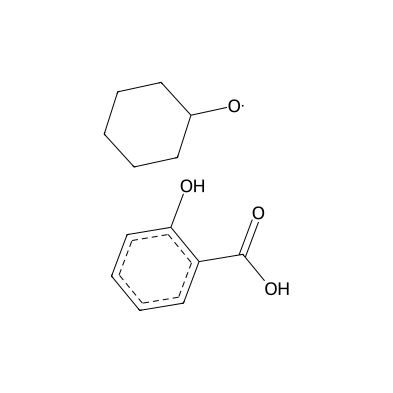 O=C(O)c1ccccc1O.[O]C1CCCCC1